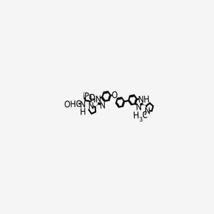 CC(C)C(NC=O)C(=O)N1CCC[C@H]1c1nc2cc(Oc3cccc(-c4ccc5[nH]c([C@@H]6CCCN6C)nc5c4)c3)ccc2[nH]1